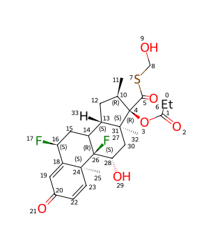 CCC(=O)O[C@]1(C(=O)SCO)[C@H](C)C[C@H]2C3C[C@H](F)C4=CC(=O)C=C[C@]4(C)[C@@]3(F)[C@@H](O)C[C@@]21C